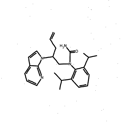 C=CCC(CN(C(N)=O)c1c(C(C)C)cccc1C(C)C)n1ccc2cccnc21